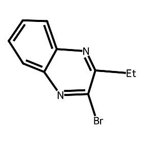 CCc1nc2ccccc2nc1Br